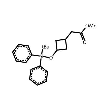 COC(=O)CC1CC(O[Si](c2ccccc2)(c2ccccc2)C(C)(C)C)C1